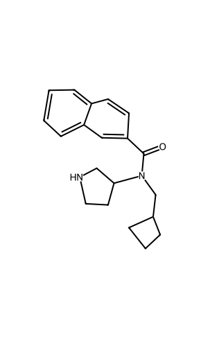 O=C(c1ccc2ccccc2c1)N(CC1CCC1)C1CCNC1